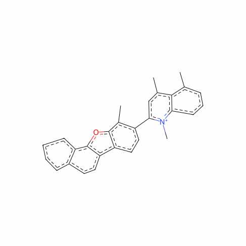 Cc1c(-c2cc(C)c3c(C)cccc3[n+]2C)ccc2c1oc1c3ccccc3ccc21